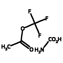 CC(=O)OC(F)(F)F.NC(=O)O